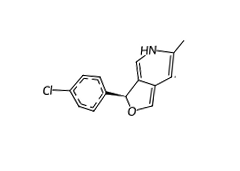 CC1=[C]C2=CO[C@@H](c3ccc(Cl)cc3)C2=CN1